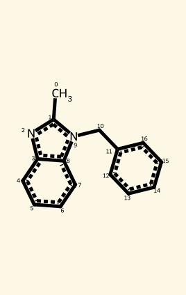 Cc1nc2ccc[c]c2n1Cc1ccccc1